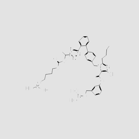 CCCCc1nc(Cl)c(C(=O)Oc2cccc(CON(O)O)c2)n1Cc1ccc(-c2ccccc2-c2nnn(C(C)OC(=O)OCCCCON(O)O)n2)cc1